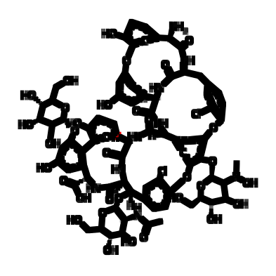 CC(=O)N[C@H]1C(O)[C@H](O)C(CO)O[C@H]1O[C@@H]1c2ccc(c(Cl)c2)Oc2cc3cc(c2O[C@@H]2O[C@H](CO)[C@@H](O)C(O)C2N(C)O)Oc2ccc(cc2Cl)C[C@H]2NC(=O)[C@H](N)c4ccc(O)c(c4)Oc4cc(O)cc(c4)[C@H](NC2=O)C(=O)N[C@H]3C(=O)N[C@H]2C(=O)N[C@@H]1C(=O)N[C@H](C(=O)O)c1cc(O)cc(O[C@H]3OC(CO)[C@@H](O)[C@@H](O)C3O)c1-c1cc2ccc1O